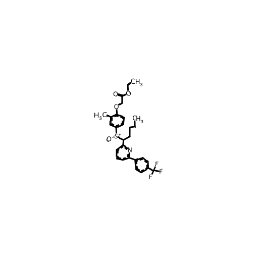 CCCCC(c1cccc(-c2ccc(C(F)(F)F)cc2)n1)[S+]([O-])c1ccc(OCC(=O)OCC)c(C)c1